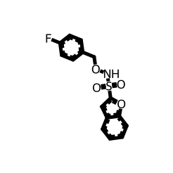 O=S(=O)(NOCc1ccc(F)cc1)c1cc2ccccc2o1